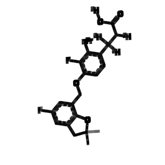 [2H]OC(=O)C([2H])C([2H])([2H])c1ccc(OCc2cc(F)cc3c2OC(C)(C)C3)c(F)c1CCC